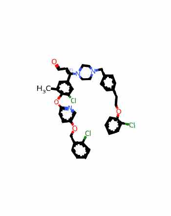 Cc1cc(/C(=C\C=O)N2CCN(Cc3ccc(CCOc4ccccc4Cl)cc3)CC2)cc(Cl)c1Oc1ccc(OCc2ccccc2Cl)cn1